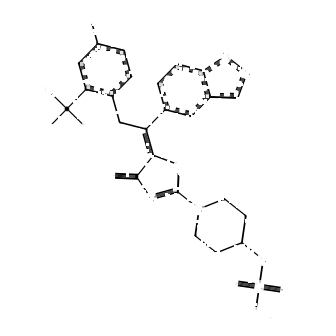 CS(=O)(=O)NC1CCN(C2=NC(=O)C(=C(Cc3ccc(Cl)cc3C(F)(F)F)c3ccc4[nH]ncc4c3)S2)CC1